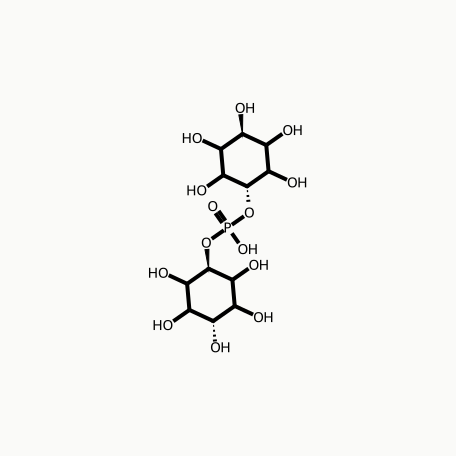 O=P(O)(O[C@H]1C(O)C(O)[C@H](O)C(O)C1O)O[C@H]1C(O)C(O)[C@H](O)C(O)C1O